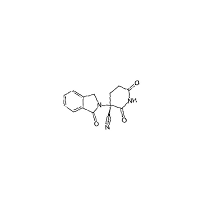 N#C[C@@]1(N2Cc3ccccc3C2=O)CCC(=O)NC1=O